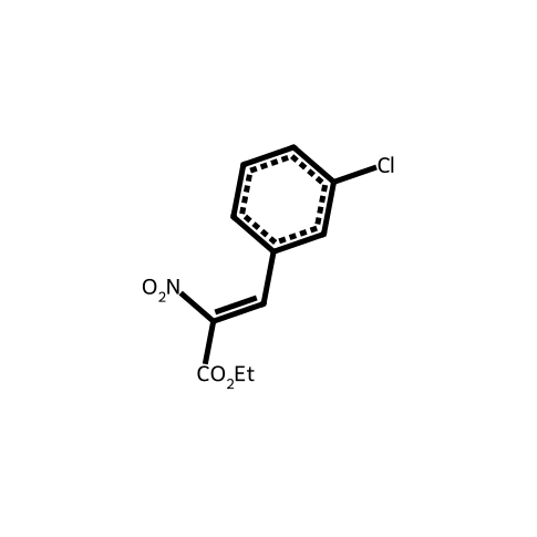 CCOC(=O)C(=Cc1cccc(Cl)c1)[N+](=O)[O-]